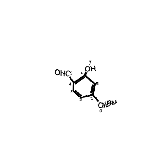 CC(C)COc1ccc(C=O)c(O)c1